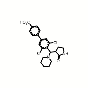 O=C(O)c1ccc(-c2cc(Cl)c(C(C3CCNC3=O)N3CCCCC3)c(Cl)c2)cc1